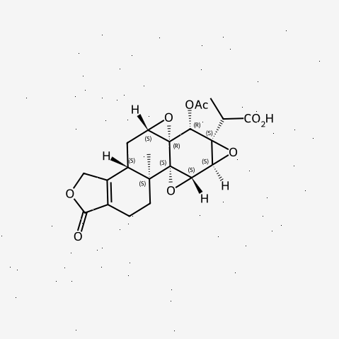 CC(=O)O[C@@H]1[C@@]2(C(C)C(=O)O)O[C@H]2[C@@H]2O[C@]23[C@]12O[C@H]2C[C@H]1C2=C(CC[C@@]13C)C(=O)OC2